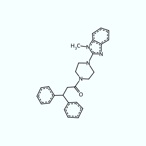 Cn1c(N2CCN(C(=O)CC(c3ccccc3)c3ccccc3)CC2)nc2ccccc21